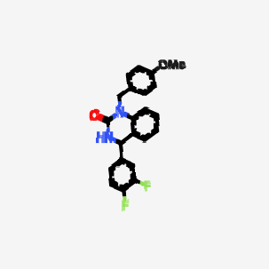 COc1ccc(CN2C(=O)NC(c3ccc(F)c(F)c3)c3ccccc32)cc1